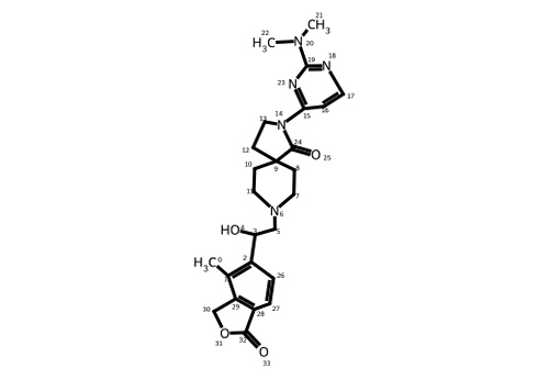 Cc1c(C(O)CN2CCC3(CC2)CCN(c2ccnc(N(C)C)n2)C3=O)ccc2c1COC2=O